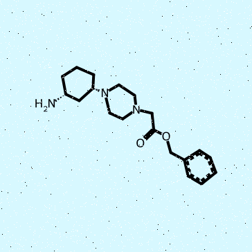 N[C@@H]1CCC[C@H](N2CCN(CC(=O)OCc3ccccc3)CC2)C1